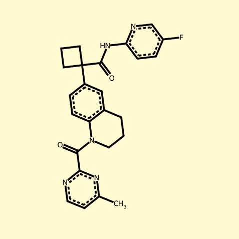 Cc1ccnc(C(=O)N2CCCc3cc(C4(C(=O)Nc5ccc(F)cn5)CCC4)ccc32)n1